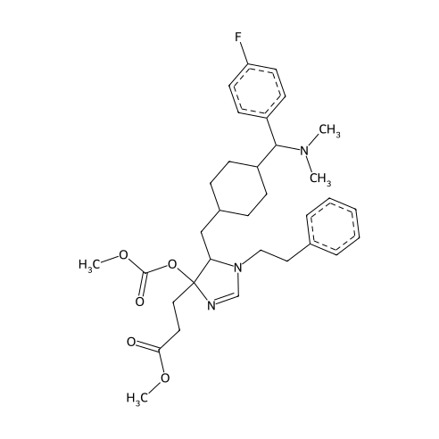 COC(=O)CCC1(OC(=O)OC)N=CN(CCc2ccccc2)C1CC1CCC(C(c2ccc(F)cc2)N(C)C)CC1